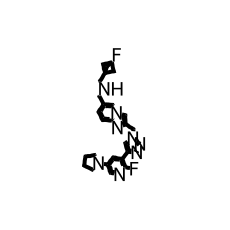 Fc1ncc(N2CCCC2)cc1-c1cn(Cc2cn3cc(CNCC45CC(F)(C4)C5)ccc3n2)nn1